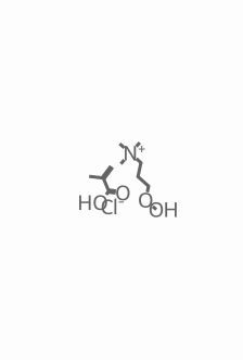 C=C(C)C(=O)O.C[N+](C)(C)CCCOO.[Cl-]